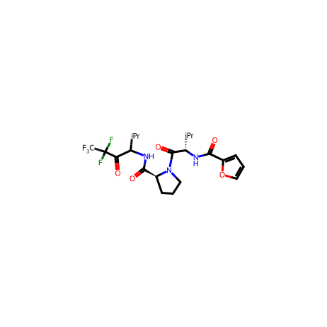 CC(C)C(NC(=O)[C@@H]1CCCN1C(=O)[C@@H](NC(=O)c1ccco1)C(C)C)C(=O)C(F)(F)C(F)(F)F